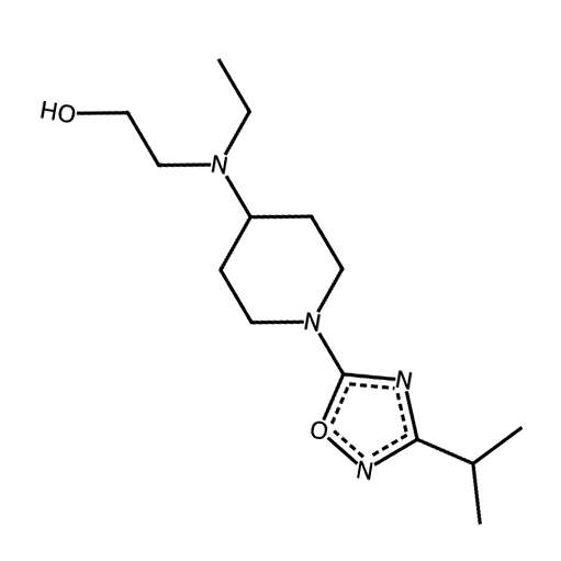 CCN(CCO)C1CCN(c2nc(C(C)C)no2)CC1